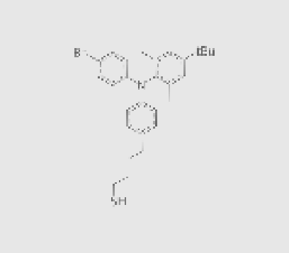 Cc1cc(C(C)(C)C)cc(C)c1N(c1ccc(Br)cc1)c1ccc(CCCCS)cc1